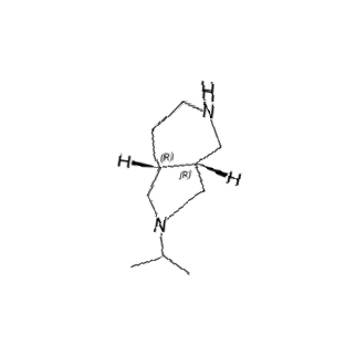 CC(C)N1C[C@H]2CNCC[C@H]2C1